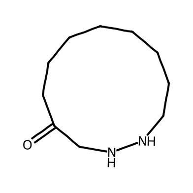 O=C1CCCCCCCCNNC1